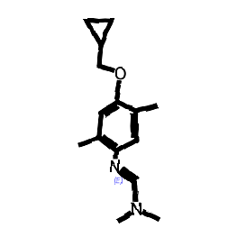 Cc1cc(OCC2CC2)c(C)cc1/N=C/N(C)C